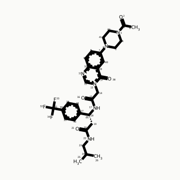 CC(=O)N1CCN(c2ccc3ncn(CC(=O)N[C@H](CC(=O)NCC(C)C)c4ccc(C(F)(F)F)cc4)c(=O)c3c2)CC1